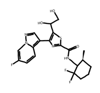 C[C@H]1CCCC(F)(F)C1NC(=O)c1nc(-c2cnn3cc(F)ccc23)c(C(O)CO)s1